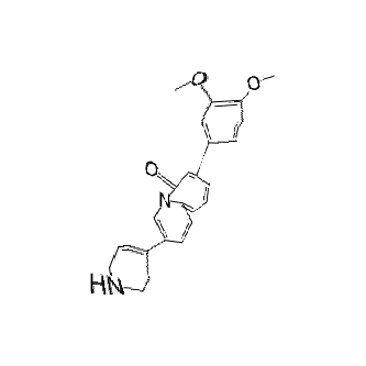 COc1ccc(C2=C\C(=O)N3C=C(C4=CCNCC4)C=C\C3=C/C=C/2)cc1OC